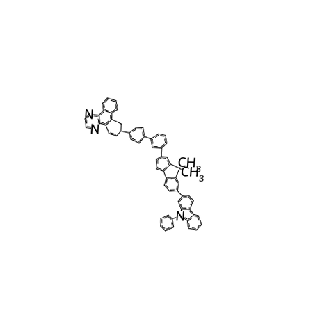 CC1(C)c2cc(-c3cccc(-c4ccc(C5C=Cc6c(c7ccccc7c7nccnc67)C5)cc4)c3)ccc2-c2ccc(-c3ccc4c5ccccc5n(-c5ccccc5)c4c3)cc21